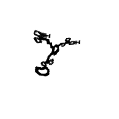 O=C(O)CCCCc1cc(COC(=O)O)ccc1CC(=O)OC1/C=C/CCCCC1